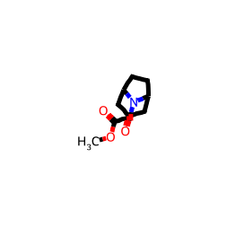 COC(=O)CN1C2CCC1CC(=O)C2